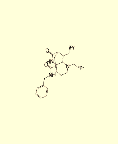 CC(C)CC1C2CC3CCN(CC(C)C)C1C3(C(=O)NCc1ccccc1)NC2=O